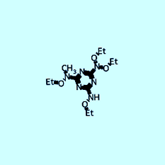 CCONc1nc(N(C)OCC)nc(N(OCC)OCC)n1